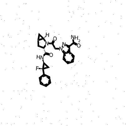 NC(=O)c1nn(CC(=O)N2[C@@H]3CC3C[C@H]2C(=O)N[C@H]2C[C@]2(F)c2ccccc2)c2ccccc12